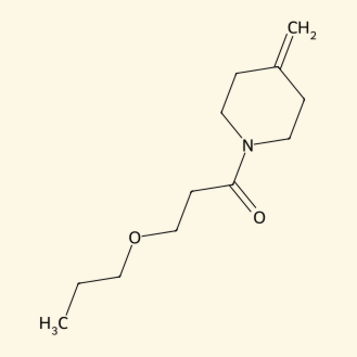 C=C1CCN(C(=O)CCOCCC)CC1